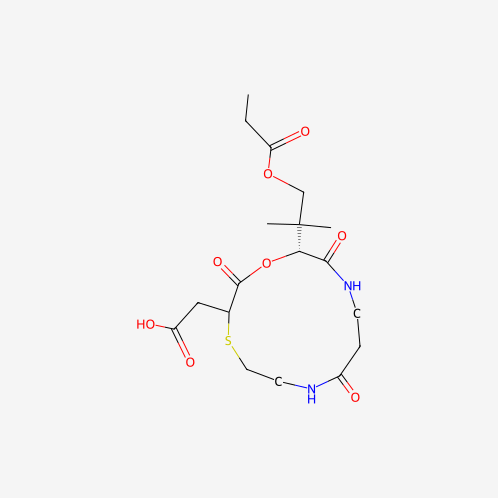 CCC(=O)OCC(C)(C)[C@H]1OC(=O)C(CC(=O)O)SCCNC(=O)CCNC1=O